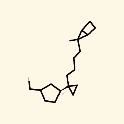 ICC1CC[C@H](C2(CCCCC3(I)C4CCC43)CC2)C1